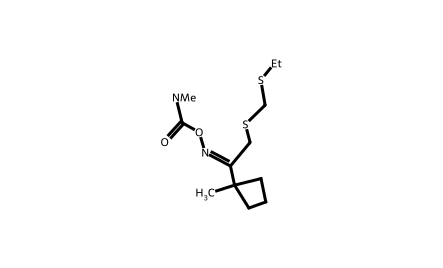 CCSCSCC(=NOC(=O)NC)C1(C)CCC1